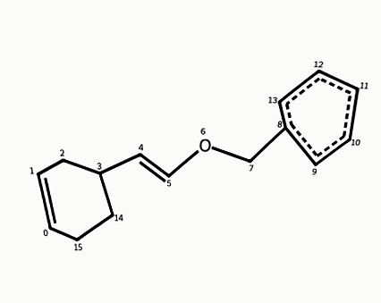 C1=CCC(C=COCc2ccccc2)CC1